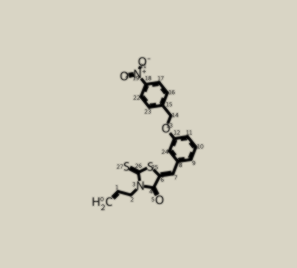 C=CCN1C(=O)C(=Cc2cccc(OCc3ccc([N+](=O)[O-])cc3)c2)SC1=S